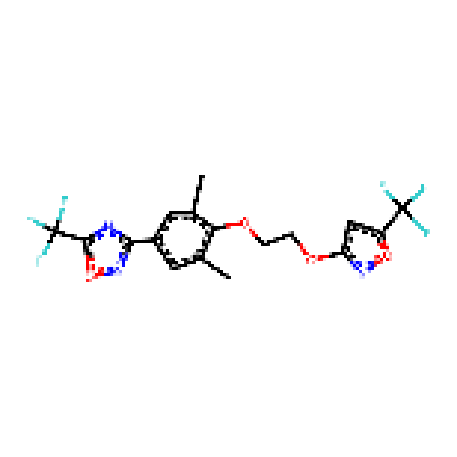 Cc1cc(-c2noc(C(F)(F)F)n2)cc(C)c1OCCOc1cc(C(F)(F)F)on1